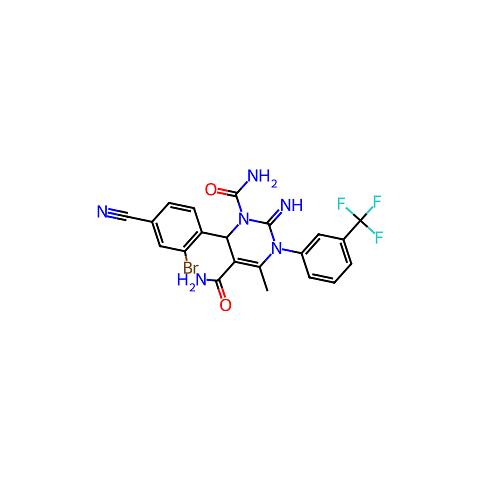 CC1=C(C(N)=O)C(c2ccc(C#N)cc2Br)N(C(N)=O)C(=N)N1c1cccc(C(F)(F)F)c1